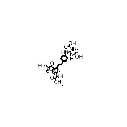 CC(=O)Nc1nc(CCc2ccc(NC(NC(=O)O)NC(=O)O)cc2)c(C(=O)N(C)C)s1